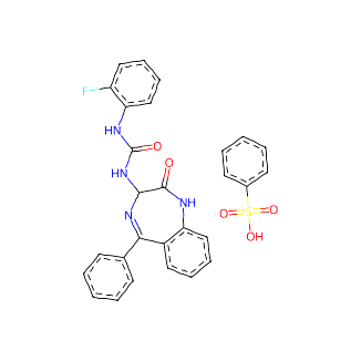 O=C(Nc1ccccc1F)NC1N=C(c2ccccc2)c2ccccc2NC1=O.O=S(=O)(O)c1ccccc1